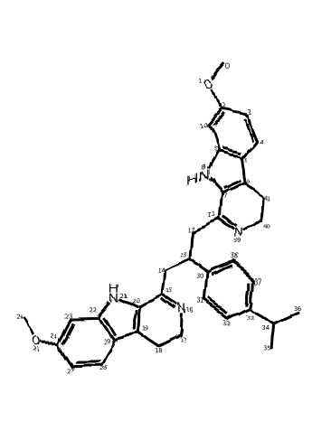 COc1ccc2c3c([nH]c2c1)C(CC(CC1=NCCc2c1[nH]c1cc(OC)ccc21)c1ccc(C(C)C)cc1)=NCC3